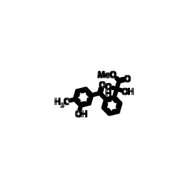 COC(=O)C(O)(O)c1ccccc1C(=O)c1ccc(C)c(O)c1